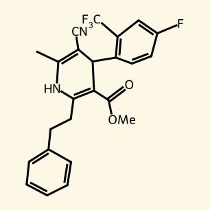 COC(=O)C1=C(CCc2ccccc2)NC(C)=C(C#N)C1c1ccc(F)cc1C(F)(F)F